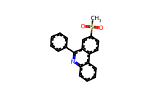 CS(=O)(=O)c1ccc2c(c1)c(-c1ccccc1)nc1ccccc12